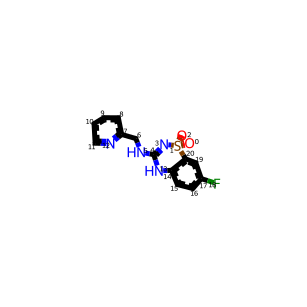 O=S1(=O)N=C(NCc2ccccn2)Nc2ccc(F)cc21